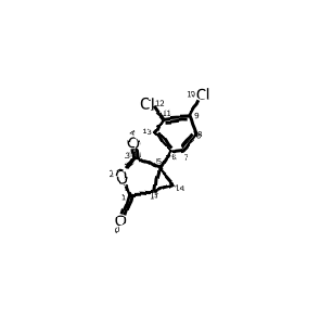 O=C1OC(=O)C2(c3ccc(Cl)c(Cl)c3)CC12